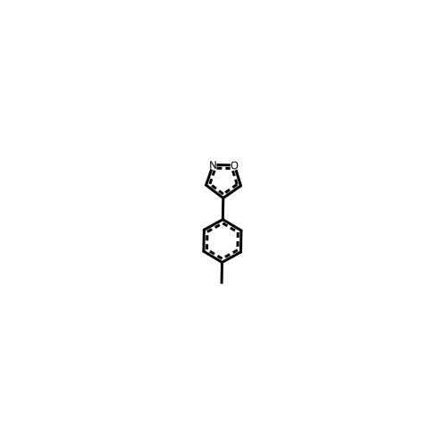 Cc1ccc(-c2cnoc2)cc1